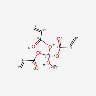 C=CC(=O)[O][Ti]([O]C(=O)C=C)([O]C(=O)C=C)[O]C(C)C